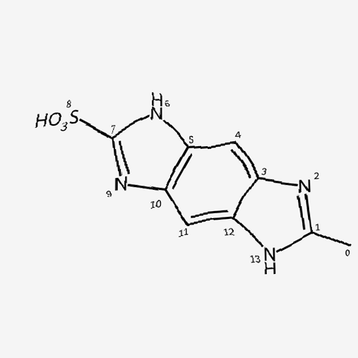 Cc1nc2cc3[nH]c(S(=O)(=O)O)nc3cc2[nH]1